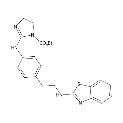 CCOC(=O)N1CCN=C1Nc1ccc(CCNc2nc3ccccc3s2)cc1